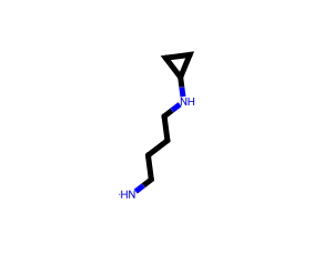 [NH]CCCCNC1CC1